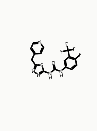 O=C(Nc1ccc(F)c(C(F)(F)F)c1)Nc1nnc(Cc2ccncc2)s1